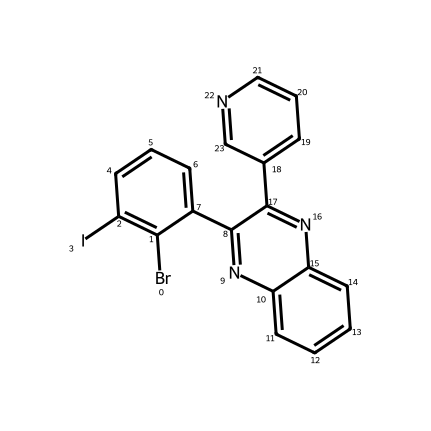 Brc1c(I)cccc1-c1nc2ccccc2nc1-c1cccnc1